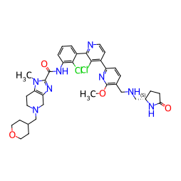 COc1nc(-c2ccnc(-c3cccc(NC(=O)c4nc5c(n4C)CCN(CC4CCOCC4)C5)c3Cl)c2Cl)ccc1CNC[C@@H]1CCC(=O)N1